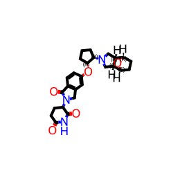 O=C1CCC(N2Cc3cc(O[C@@H]4CCC[C@H]4N4C[C@@H]5[C@H](C4)[C@H]4CC[C@@H]5O4)ccc3C2=O)C(=O)N1